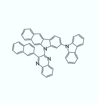 c1ccc2cc(-c3nc4ccccc4nc3-n3c4cc(-n5c6ccccc6c6ccccc65)ccc4c4cc5ccccc5cc43)ccc2c1